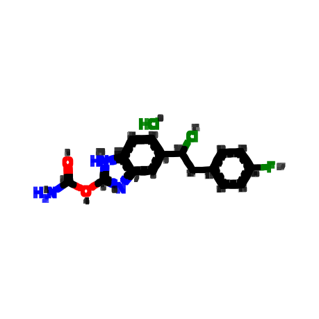 Cl.NC(=O)Oc1nc2cc(C(Cl)Cc3ccc(F)cc3)ccc2[nH]1